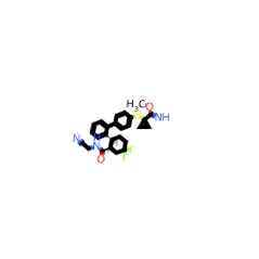 COC(=N)C1(Sc2ccc(-c3ccccc3[C@@H]3CCC(F)(F)C[C@H]3C(=O)NCC#N)cc2)CC1